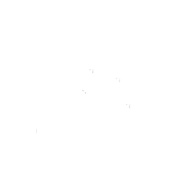 Cc1cc2nc(CN3CCCC3c3ccccn3)n(Cc3ccc(Cl)cc3)c2cc1C